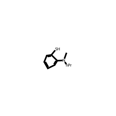 CCCN(C)c1ccccc1S